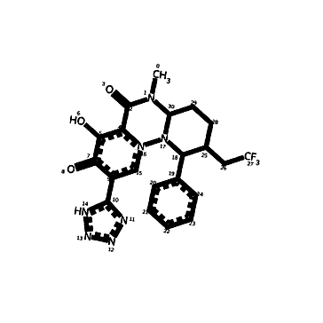 CN1C(=O)c2c(O)c(=O)c(-c3nnn[nH]3)cn2N2C(c3ccccc3)C(CC(F)(F)F)CCC12